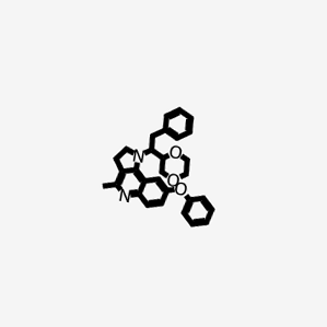 Cc1nc2ccc(Oc3ccccc3)cc2c2c1CCN2C(Cc1ccccc1)C1COCCO1